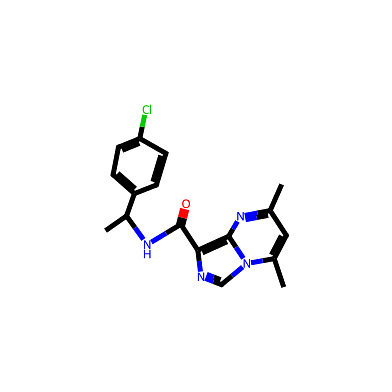 Cc1cc(C)n2cnc(C(=O)NC(C)c3ccc(Cl)cc3)c2n1